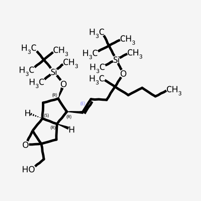 CCCCC(C)(C/C=C/[C@H]1[C@@H]2CC3(CO)OC3[C@H]2C[C@H]1O[Si](C)(C)C(C)(C)C)O[Si](C)(C)C(C)(C)C